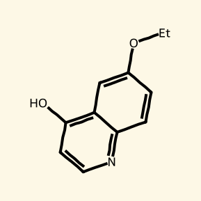 CCOc1ccc2nccc(O)c2c1